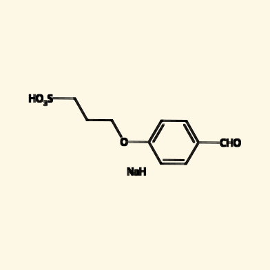 O=Cc1ccc(OCCCS(=O)(=O)O)cc1.[NaH]